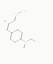 CC(C)CN(C)C1CCC(C[C@@H](C)CNC(C)C)CC1